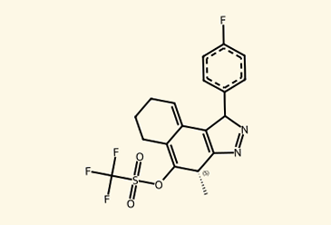 C[C@H]1C2=C(C3=CCCCC3=C1OS(=O)(=O)C(F)(F)F)C(c1ccc(F)cc1)N=N2